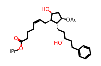 CC(=O)O[C@@H]1C[C@H](O)[C@H](C/C=C\CCCC(=O)OC(C)C)[C@H]1CC[C@@H](O)CCc1ccccc1